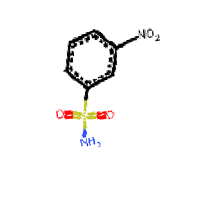 NS(=O)(=O)c1[c]ccc([N+](=O)[O-])c1